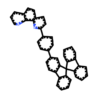 c1ccc2c(c1)-c1ccccc1C21c2ccccc2-c2ccc(-c3ccc(-c4ccc5ccc6cccnc6c5n4)cc3)cc21